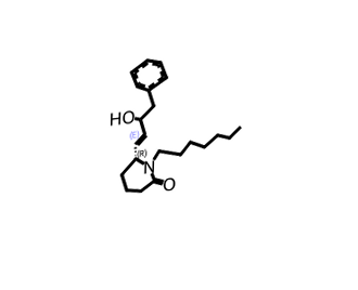 CCCCCCCN1C(=O)CCC[C@@H]1/C=C/C(O)Cc1ccccc1